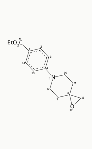 CCOC(=O)c1ccc(N2CCC3(CC2)CO3)cc1